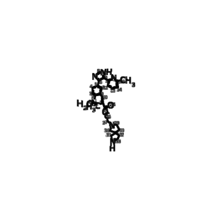 C=Nc1ccc(-c2nc[nH]c2-c2cccc(C)n2)cc1/C=C(\C)C(=O)OCCN1CCC2(CCNC2)C1